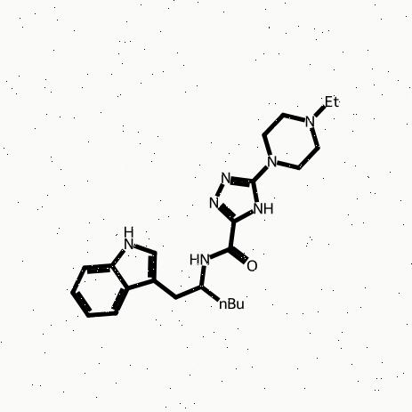 CCCCC(Cc1c[nH]c2ccccc12)NC(=O)c1nnc(N2CCN(CC)CC2)[nH]1